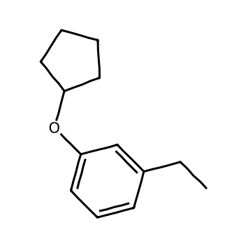 CCc1cccc(OC2CCCC2)c1